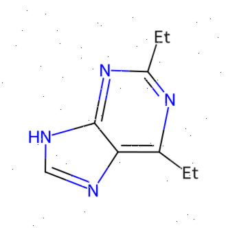 CCc1nc(CC)c2nc[nH]c2n1